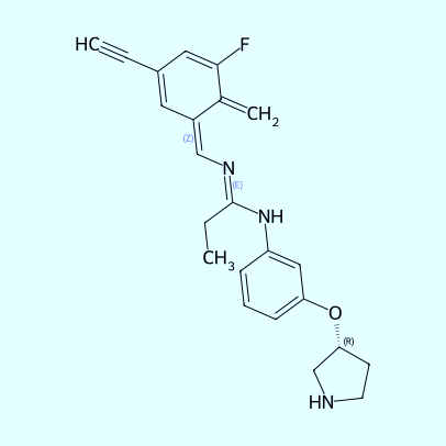 C#Cc1cc(F)c(=C)/c(=C\N=C(/CC)Nc2cccc(O[C@@H]3CCNC3)c2)c1